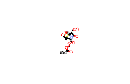 CC(C)(C)C(=O)OCOC(=O)[C@@H]1N2C(=O)[C@@H](CO)[C@H]2S(=O)(=O)C1(C)C